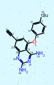 C#Cc1cc(Oc2ccc(C(C)(C)C)cc2)c2c(N)nc(N)nc2c1